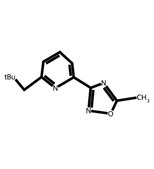 Cc1nc(-c2cccc(CC(C)(C)C)n2)no1